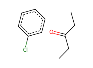 CCC(=O)CC.Clc1ccccc1